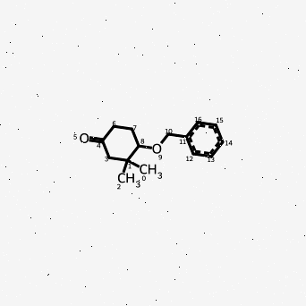 CC1(C)CC(=O)CCC1OCc1ccccc1